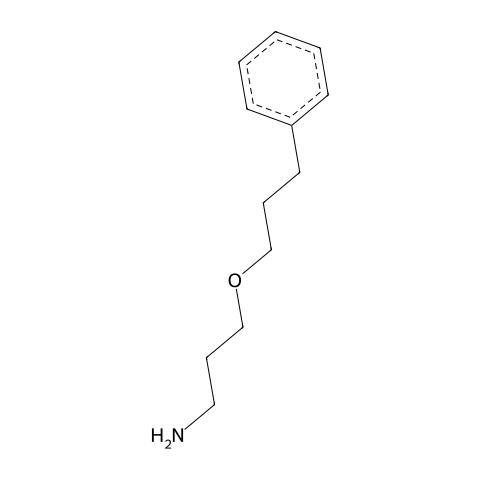 NCCCOCCCc1ccccc1